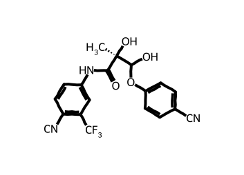 [C-]#[N+]c1ccc(NC(=O)[C@@](C)(O)C(O)Oc2ccc(C#N)cc2)cc1C(F)(F)F